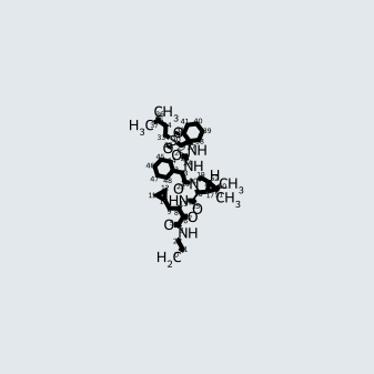 C=CCNC(=O)C(=O)C(CC1CC1)NC(=O)[C@@H]1C2[C@H](CN1C(=O)[C@@H](NC(=O)NC1(CS(=O)(=O)CCC(C)C)CCCCC1)C1CCCCC1)C2(C)C